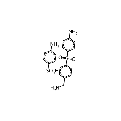 NCc1ccc(S(=O)(=O)c2ccc(N)cc2)cc1.Nc1ccc(S(=O)(=O)O)cc1